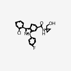 O=C(NC1(CO)CC1)c1ccc2c(-c3ccccc3Cl)nn(-c3ccc(F)cc3)c2c1